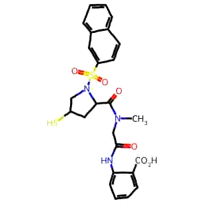 CN(CC(=O)Nc1ccccc1C(=O)O)C(=O)C1CC(S)CN1S(=O)(=O)c1ccc2ccccc2c1